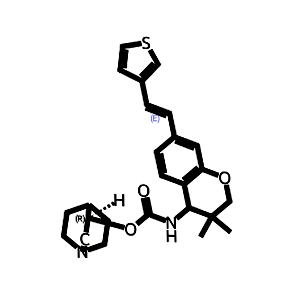 CC1(C)COc2cc(/C=C/c3ccsc3)ccc2C1NC(=O)O[C@H]1CN2CCC1CC2